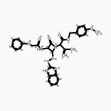 C=C(C)C(C(=O)OCc1ccc(OC)cc1)N1C(=O)C(NC(=O)COc2ccccc2)C1SSc1nc2ccccc2s1